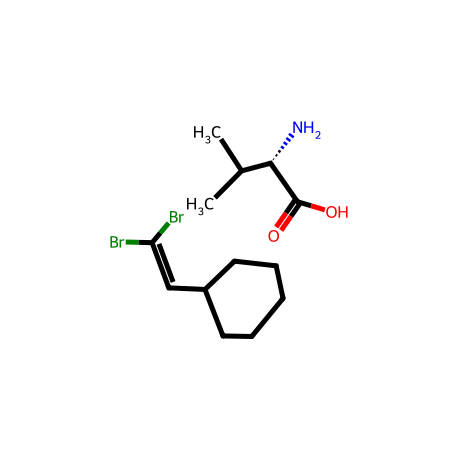 BrC(Br)=CC1CCCCC1.CC(C)[C@H](N)C(=O)O